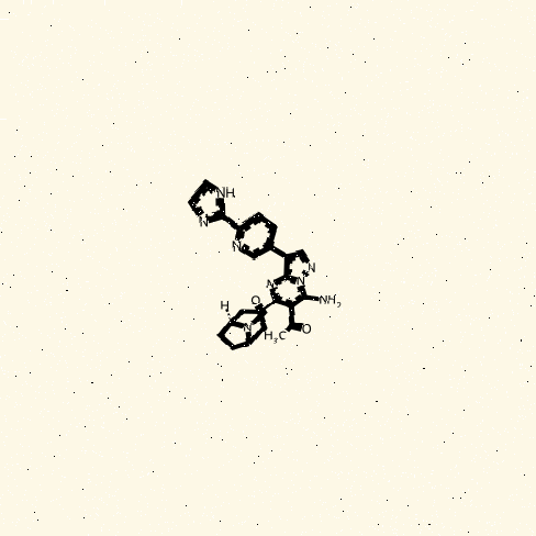 CC(=O)c1c([C@H]2CC3CC[C@@H](C2)N3C=O)nc2c(-c3ccc(-c4ncc[nH]4)nc3)cnn2c1N